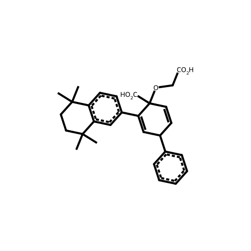 CC1(C)CCC(C)(C)c2cc(C3=CC(c4ccccc4)C=CC3(OCC(=O)O)C(=O)O)ccc21